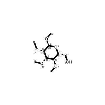 CO[C@H]1O[C@H](CO)[C@@H](OC)[C@H](OC)[C@@H]1OC